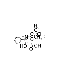 CC(C)(C)OC(=O)N[C@@H](c1ccccc1)[C@H](O)CC(=O)O